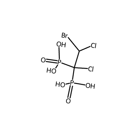 O=P(O)(O)C(Cl)(C(Cl)Br)P(=O)(O)O